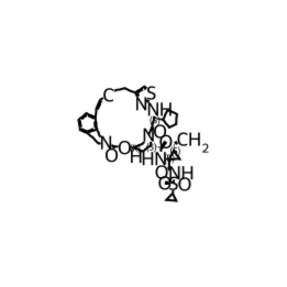 C=C[C@@H]1C[C@]1(NC(=O)[C@@H]1C[C@@H]2CN1C(=O)[C@H](C1CCCC1)Nc1nc(cs1)CCCC=Cc1cccc3c1CN(C3)C(=O)O2)C(=O)NS(=O)(=O)C1CC1